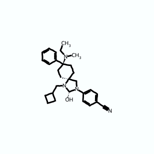 CCN(C)[C@]1(c2ccccc2)CC[C@]2(CC1)CN(c1ccc(C#N)cc1)[C@H](O)N2CC1CCC1